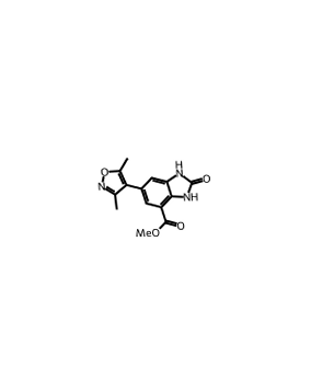 COC(=O)c1cc(-c2c(C)noc2C)cc2[nH]c(=O)[nH]c12